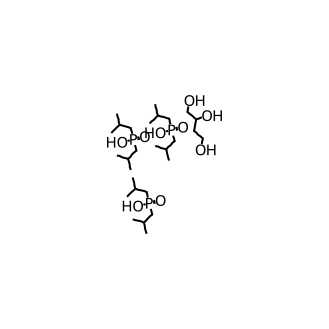 CC(C)CP(=O)(O)CC(C)C.CC(C)CP(=O)(O)CC(C)C.CC(C)CP(=O)(O)CC(C)C.OCCC(O)CO